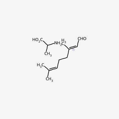 CC(C)=CCC/C(C)=C/C=O.CC(N)C(=O)O